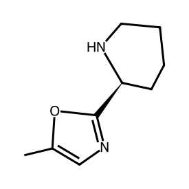 Cc1cnc([C@@H]2CCCCN2)o1